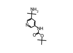 CC(C)(C)OC(=O)Nc1cncc(C(C)(C)N)c1